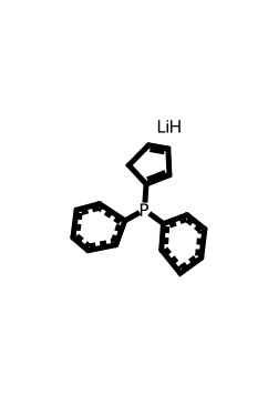 C1=CCC(P(c2ccccc2)c2ccccc2)=C1.[LiH]